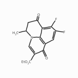 CCOC(=O)c1cn2c3c(c(F)c(F)cc3c1=O)C(=O)CC2C